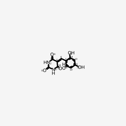 O=C1NC(=O)C(=Cc2c(O)cc(O)cc2O)C(=O)N1